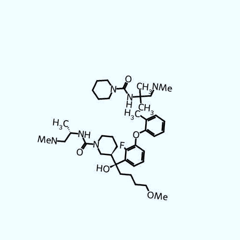 CNCC(C)(C)NC(=O)N1CCCCC1.CNC[C@H](C)NC(=O)N1CCC[C@@H]([C@@](O)(CCCCOC)c2cccc(Oc3ccccc3C)c2F)C1